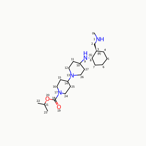 CNC[C@H]1CCCC[C@@H]1NC1CCN(C2CCN(C(=O)OC(C)C)CC2)CC1